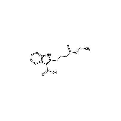 CCOC(=O)CCCc1[nH]c2ccccc2c1C(=O)O